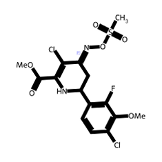 COC(=O)C1=C(Cl)/C(=N/OS(C)(=O)=O)CC(c2ccc(Cl)c(OC)c2F)N1